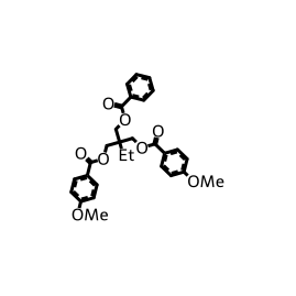 CCC(COC(=O)c1ccccc1)(COC(=O)c1ccc(OC)cc1)COC(=O)c1ccc(OC)cc1